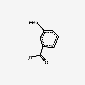 CSc1c[c]cc(C(N)=O)c1